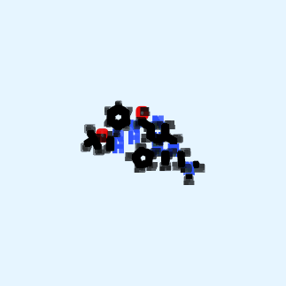 C=C(Nc1ccccc1NC(=O)c1ccc(CN(CCN(C)C)C(=C)NC2CCCC2)cn1)OC(C)(C)C